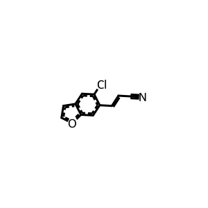 N#C/C=C/c1cc2occc2cc1Cl